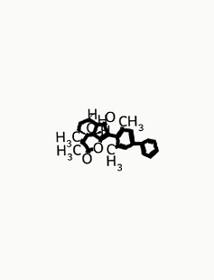 Cc1cc(-c2ccccc2)cc(C)c1C1=C2OC(=O)C(C)(C)[C@]34CC[C@H](O3)[C@H](C1=O)[C@H]24